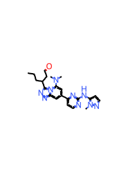 CCCC(CC=O)c1nnc2cc(-c3ccnc(Nc4ccnn4C)n3)cc(N(C)C)n12